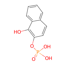 O=P(O)(O)Oc1ccc2ccccc2c1O